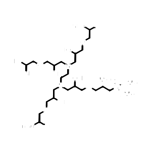 CCCCC(CC)COCC(O)CN(CCN(CC(O)COCC(CC)CCCC)CC(O)COCC(CC)CCCC)CC(O)COCCC[Si](OC)(OC)OC